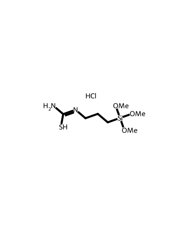 CO[Si](CCCN=C(N)S)(OC)OC.Cl